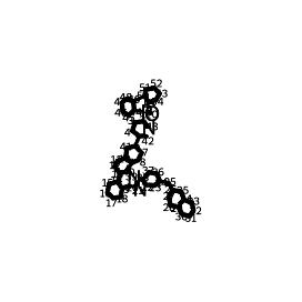 O=P1(c2ccc(-c3ccc4c(ccc5c6ccccc6c6nc7cc(Cc8ccc9ccccc9c8)ccc7n6c45)c3)cn2)c2ccccc2-c2ccccc21